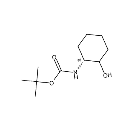 CC(C)(C)OC(=O)N[C@@H]1CCCCC1O